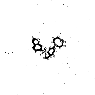 O=S(=O)(c1ccc2ccoc2c1)n1ccc2ccc(N3CCCNCC3)cc21